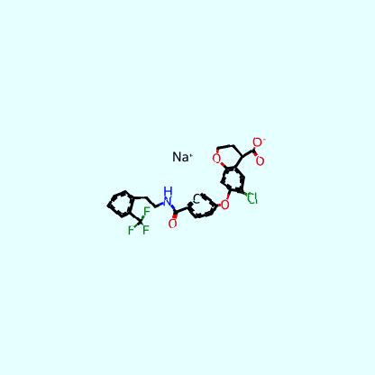 O=C(NCCc1ccccc1C(F)(F)F)c1ccc(Oc2cc3c(cc2Cl)C(C(=O)[O-])CCO3)cc1.[Na+]